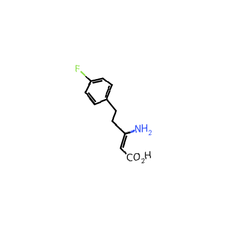 NC(=CC(=O)O)CCc1ccc(F)cc1